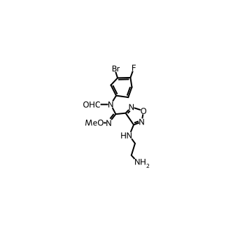 CO/N=C(/c1nonc1NCCN)N(C=O)c1ccc(F)c(Br)c1